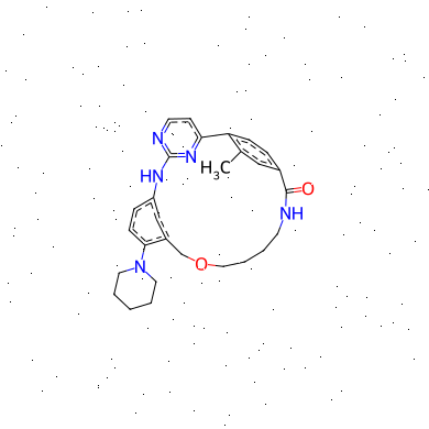 Cc1cc2ccc1-c1ccnc(n1)Nc1ccc(N3CCCCC3)c(c1)COCCCCNC2=O